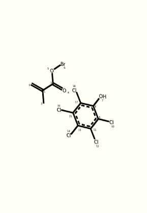 C=C(C)C(=O)OBr.Oc1c(Cl)c(Cl)c(Cl)c(Cl)c1Cl